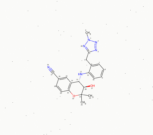 Cn1nnc(Cc2ccccc2N[C@H]2c3cc(C#N)ccc3OC(C)(C)[C@@H]2O)n1